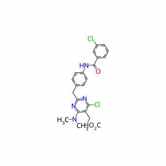 CN(C)c1nc(Cc2ccc(NC(=O)c3cccc(Cl)c3)cc2)nc(Cl)c1CC(=O)O